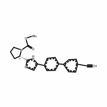 C#Cc1ccc(-c2ccc(-c3cnc([C@@H]4CCCN4C(=O)OC(C)(C)C)[nH]3)cc2)cc1